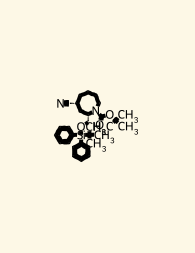 CC(C)(C)OC(=O)N1CCCC[C@@H](C#N)C[C@H]1CO[Si](c1ccccc1)(c1ccccc1)C(C)(C)C